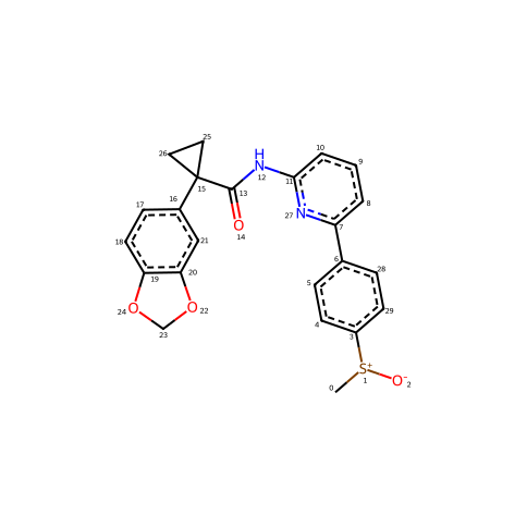 C[S+]([O-])c1ccc(-c2cccc(NC(=O)C3(c4ccc5c(c4)OCO5)CC3)n2)cc1